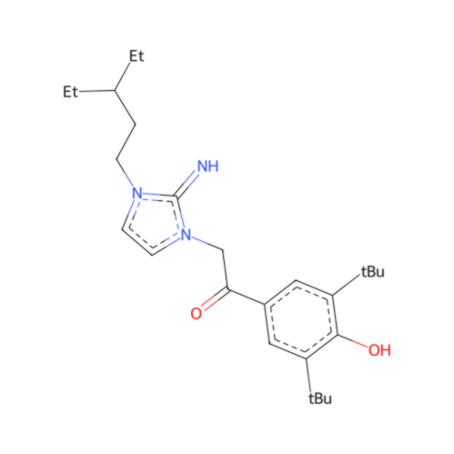 CCC(CC)CCn1ccn(CC(=O)c2cc(C(C)(C)C)c(O)c(C(C)(C)C)c2)c1=N